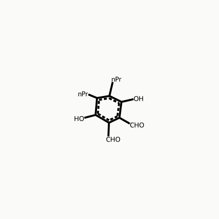 CCCc1c(O)c(C=O)c(C=O)c(O)c1CCC